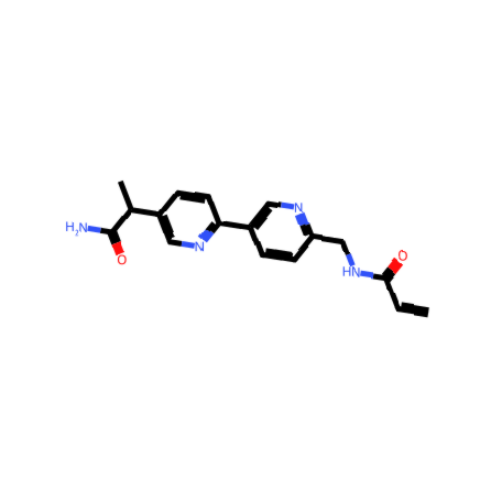 C=CC(=O)NCc1ccc(-c2ccc(C(C)C(N)=O)cn2)cn1